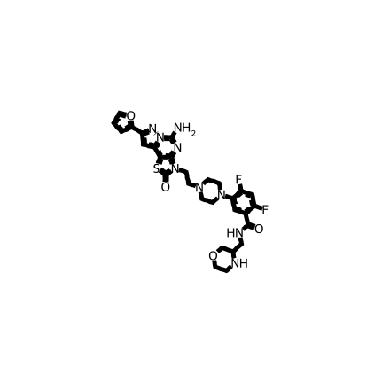 Nc1nc2c(sc(=O)n2CCN2CCN(c3cc(C(=O)NCC4COCCN4)c(F)cc3F)CC2)c2cc(-c3ccco3)nn12